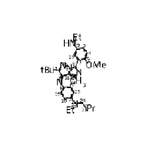 CCNc1ccc(OC)c(-c2nnc3n2N=C(C(C)(C)C)/C3=N/c2ccc(N(CC)CC(C)C)cc2C)c1